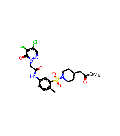 COC(=O)CC1CCN(S(=O)(=O)c2cc(NC(=O)Cn3ncc(Cl)c(Cl)c3=O)ccc2C)CC1